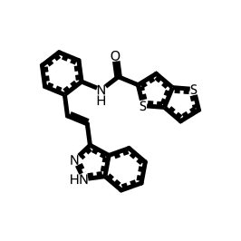 O=C(Nc1ccccc1C=Cc1n[nH]c2ccccc12)c1cc2sccc2s1